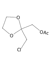 CC(=O)OCC1(CCl)OCCO1